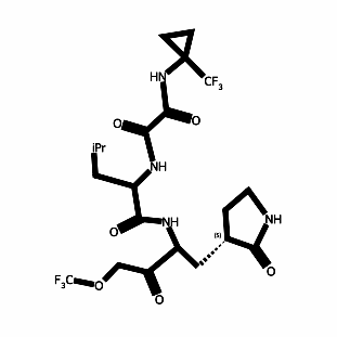 CC(C)CC(NC(=O)C(=O)NC1(C(F)(F)F)CC1)C(=O)NC(C[C@@H]1CCNC1=O)C(=O)COC(F)(F)F